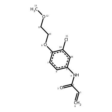 C=CC(=O)Nc1ccc(OCCOC)c(Cl)c1